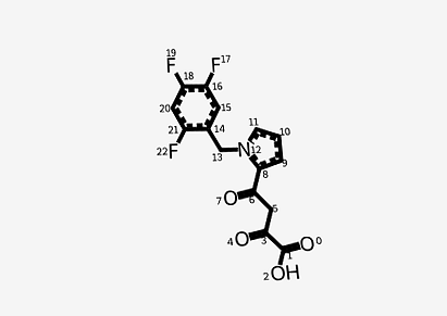 O=C(O)C(=O)CC(=O)c1cccn1Cc1cc(F)c(F)cc1F